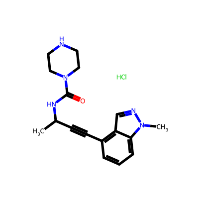 CC(C#Cc1cccc2c1cnn2C)NC(=O)N1CCNCC1.Cl